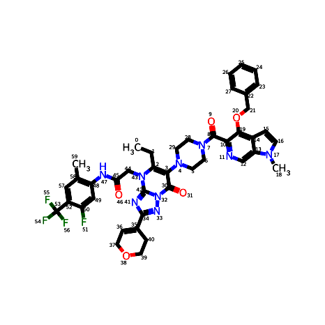 CCc1c(N2CCN(C(=O)c3ncc4c(ccn4C)c3OCc3ccccc3)CC2)c(=O)n2nc(C3=CCOCC3)nc2n1CC(=O)Nc1cc(F)c(C(F)(F)F)cc1C